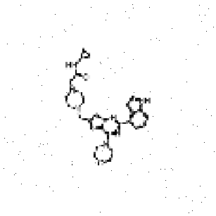 O=C(CN1CCN(Cc2cc3nc(-c4cccc5[nH]ccc45)nc(N4CCOCC4)c3s2)CC1)NC1CC1